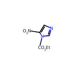 CCOC(=O)n1cncc1[N+](=O)[O-]